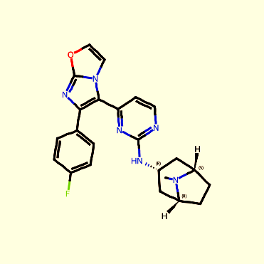 CN1[C@@H]2CC[C@H]1C[C@@H](Nc1nccc(-c3c(-c4ccc(F)cc4)nc4occn34)n1)C2